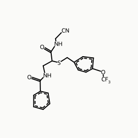 N#CCNC(=O)C(CNC(=O)c1ccccc1)SCc1ccc(OC(F)(F)F)cc1